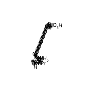 CCCN(OCCNC(=O)OC1CCC1)C(=O)C1=Cc2sc(CC3CN(C(=O)CCOCCOCCOCCOCCOCCOCCOCCOCCOCCOCCC(=O)Oc4c(F)c(F)c(S(=O)(=O)O)c(F)c4F)C3)cc2N=C(N)C1